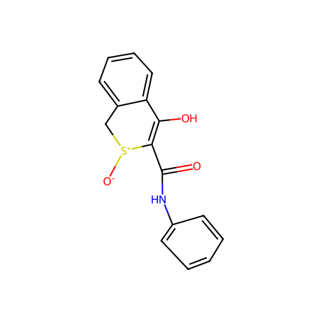 O=C(Nc1ccccc1)C1=C(O)c2ccccc2C[S+]1[O-]